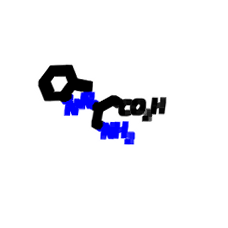 NCC(CC(=O)O)n1cc2ccccc2n1